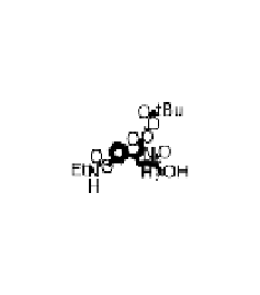 CCNC(=O)Oc1cccc(C2=C(C(=O)OCOC(=O)C(C)(C)C)N3C(=O)[C@H]([C@@H](C)O)[C@H]3C2)c1